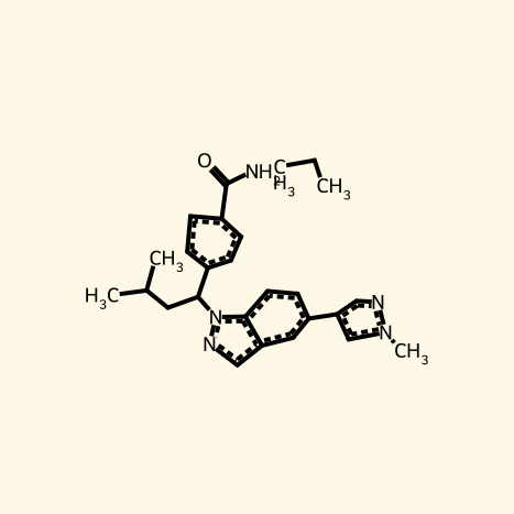 CC(C)CC(c1ccc(C(N)=O)cc1)n1ncc2cc(-c3cnn(C)c3)ccc21.CCC